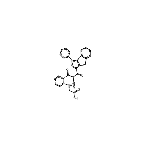 N#CC(C(=O)c1ccccc1NCC(=O)O)C(=O)c1nn(-c2ccccc2)c2c1Cc1ccccc1-2